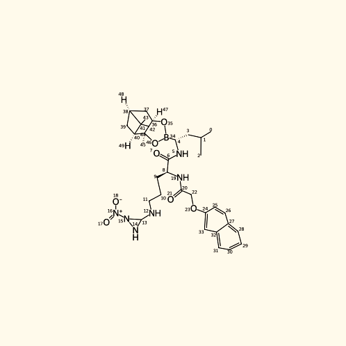 CC(C)C[C@H](NC(=O)[C@H](CCCNC1NN1[N+](=O)[O-])NC(=O)COc1ccc2ccccc2c1)B1O[C@@H]2C[C@@H]3C[C@@H](C3(C)C)[C@]2(C)O1